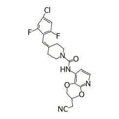 N#CCC1COc2c(NC(=O)N3CCC(=Cc4c(F)cc(Cl)cc4F)CC3)ccnc2O1